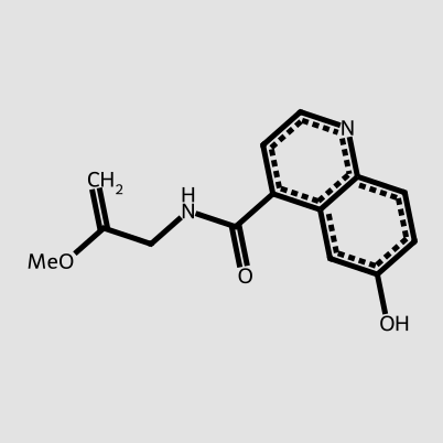 C=C(CNC(=O)c1ccnc2ccc(O)cc12)OC